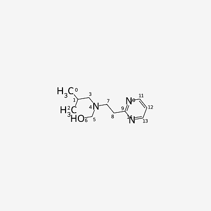 CC(C)CN(CO)CCc1ncccn1